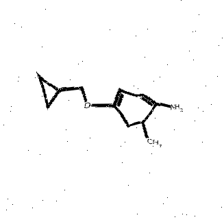 CC1CC(OCC2CC2)=CC=C1N